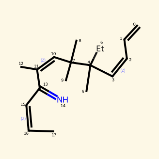 C=C/C=C\C(C)(CC)C(C)(C)/C=C(/C)C(=N)/C=C\C